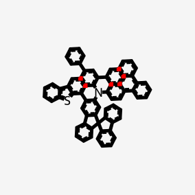 c1ccc(-c2ccc(N(c3ccc4c5ccccc5c5ccccc5c4c3)c3cc4c(cc3-c3cccc5c3sc3ccccc35)-c3ccccc3C43c4ccccc4-c4ccccc43)c(-c3ccccc3)c2)cc1